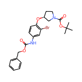 CC(C)(C)OC(=O)N1CC[C@H](Oc2ccc(NC(=O)OCc3ccccc3)cc2Br)C1